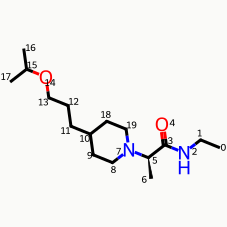 CCNC(=O)[C@@H](C)N1CCC(CCCOC(C)C)CC1